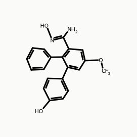 NC(=NO)c1cc(OC(F)(F)F)cc(-c2ccc(O)cc2)c1-c1ccccc1